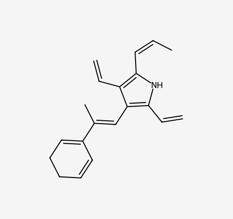 C=Cc1[nH]c(/C=C\C)c(C=C)c1/C=C(\C)C1=CCCC=C1